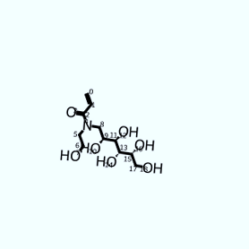 C=CC(=O)N(CCO)C[C@H](O)[C@@H](O)[C@@H](O)[C@H](O)CO